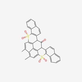 Cc1cc2c3c4c5c(cc(C)c14)S(=O)(=O)c1c(ccc4ccccc14)C5C(=O)C3c1ccc3ccccc3c1S2(=O)=O